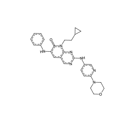 O=c1c(Nc2ccccc2)cc2cnc(Nc3ccc(N4CCOCC4)nc3)nc2n1CCC1CC1